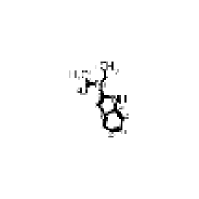 CCN(C(C)=O)c1cc2ccccc2[nH]1